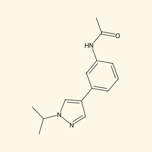 CC(=O)Nc1cccc(-c2cnn(C(C)C)c2)c1